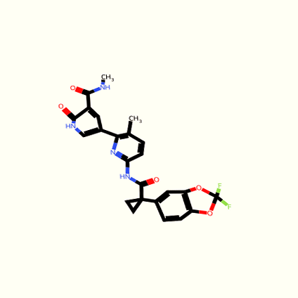 CNC(=O)c1cc(-c2nc(NC(=O)C3(c4ccc5c(c4)OC(F)(F)O5)CC3)ccc2C)c[nH]c1=O